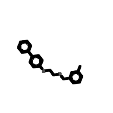 Cc1cccc(COCCOc2ccc(-c3ccccc3)cc2)c1